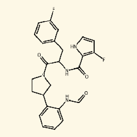 O=CNc1ccccc1C1CCN(C(=O)C(Cc2cccc(F)c2)NC(=O)c2[nH]ccc2F)C1